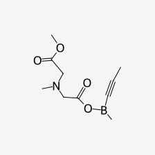 CC#CB(C)OC(=O)CN(C)CC(=O)OC